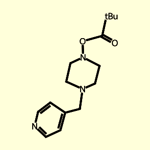 CC(C)(C)C(=O)ON1CCN(Cc2ccncc2)CC1